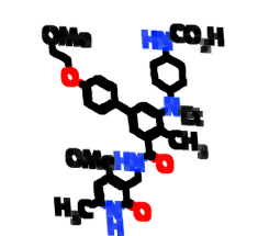 CCN(c1cc(-c2ccc(OCCOC)cc2)cc(C(=O)NCc2c(OC)cc(C)[nH]c2=O)c1C)C1CCC(NC(=O)O)CC1